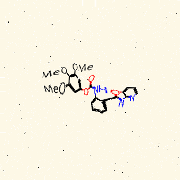 COc1cc(OC(=O)Nc2ccccc2-c2nc3ncccc3o2)cc(OC)c1OC